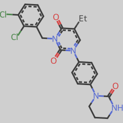 [CH2]Cc1cn(-c2ccc(N3CCCNC3=O)cc2)c(=O)n(Cc2cccc(Cl)c2Cl)c1=O